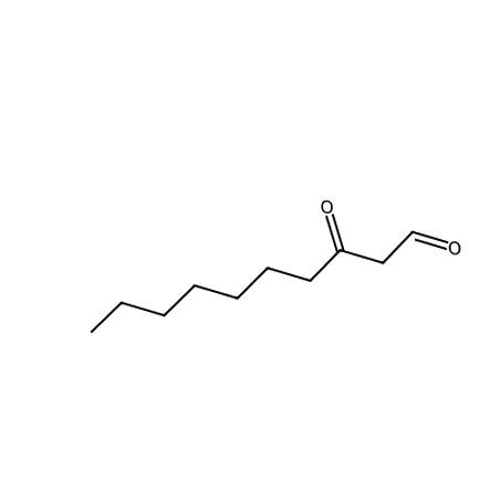 CCCCCCCC(=O)CC=O